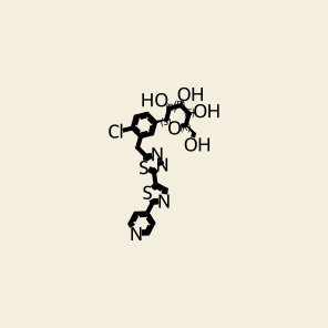 OC[C@H]1O[C@@H](c2ccc(Cl)c(Cc3nnc(-c4cnc(-c5ccncc5)s4)s3)c2)[C@H](O)[C@@H](O)[C@@H]1O